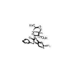 COC(=O)C[C@H]1O[C@@H](n2c(=O)n(Cc3ccccc3)c3cnc(N)nc32)[C@H](OC(C)=O)[C@@H]1F